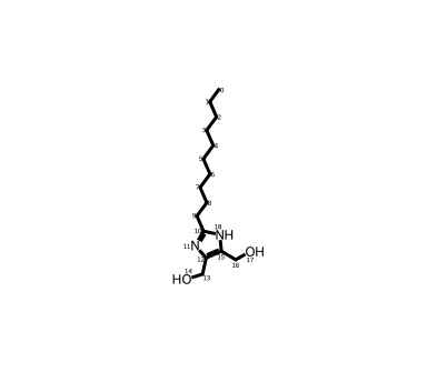 CCCCCCCCCCc1nc(CO)c(CO)[nH]1